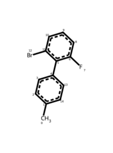 Cc1ccc(-c2c(F)cccc2Br)cc1